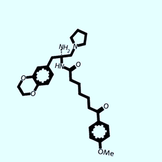 COc1ccc(C(=O)CCCCCC(=O)N[C@@](N)(Cc2ccc3c(c2)OCCO3)CN2CCCC2)cc1